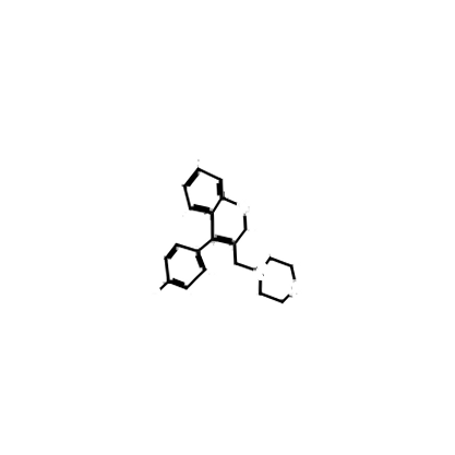 Fc1ccc(C2=C(CN3CCOCC3)COc3ccccc32)cc1